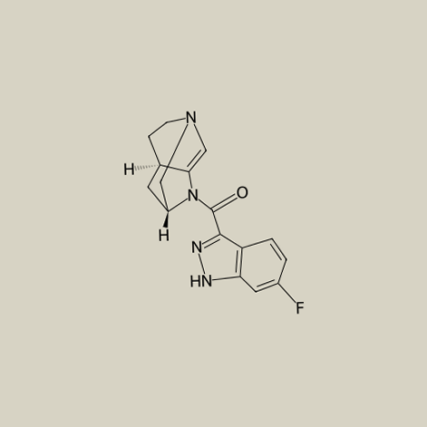 O=C(c1n[nH]c2cc(F)ccc12)N1C2=CN3CC[C@@H]2C[C@@H]1C3